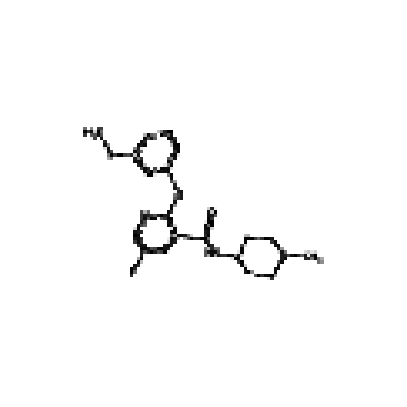 CSc1cccc(Oc2ncc(F)cc2C(=O)NC2CCN(C)CC2)c1